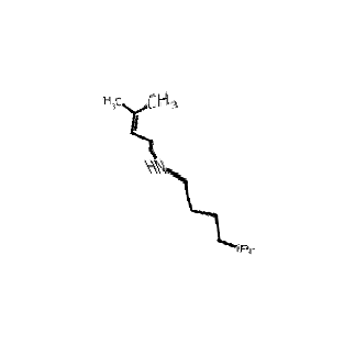 CC(C)=CCNCCCCC(C)C